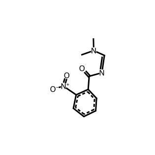 CN(C)/C=N\C(=O)c1ccccc1[N+](=O)[O-]